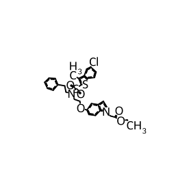 CCOC(=O)Cn1ccc2cc(OCCN(CCc3ccccc3)S(=O)(=O)c3sc4ccc(Cl)cc4c3C)ccc21